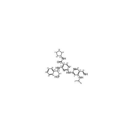 CC(C)Nc1cc(Nc2ncc(C(=O)NC3CCCC3)c(NC(CO)c3ccccc3)n2)ncc1C=N